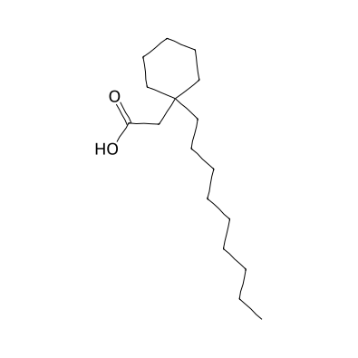 CCCCCCCCCC1(CC(=O)O)CCCCC1